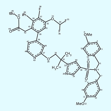 COc1ccc(CN(Cc2ccc(OC)cc2)S(=O)(=O)c2cnn(C(C)(C)COc3cc(-c4cc(OC(F)F)c(F)c(C(C)C)c4CC(=O)OC(C)(C)C)ccn3)c2)cc1